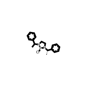 CC(c1ccccc1)N1CCN([C@@H](C)c2ccccc2)P1Cl